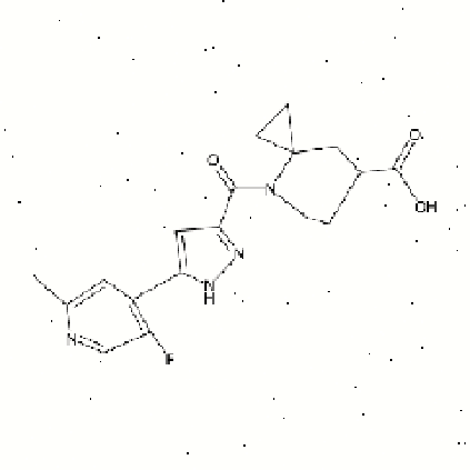 Cc1cc(-c2cc(C(=O)N3CCC(C(=O)O)CC34CC4)n[nH]2)c(F)cn1